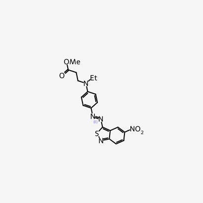 CCN(CCC(=O)OC)c1ccc(/N=N/c2snc3ccc([N+](=O)[O-])cc23)cc1